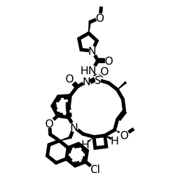 COC[C@@H]1CCN(C(=O)NS2(=O)=NC(=O)c3ccc4c(c3)N(C[C@@H]3CC[C@H]3[C@@H](OC)/C=C/C[C@H](C)C2)C[C@@]2(CCCc3cc(Cl)ccc32)CO4)C1